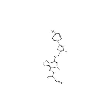 COC(=O)COc1c(C)cc(SCc2sc(-c3ccc(C(F)(F)F)cc3)nc2C)c2c1CCC2